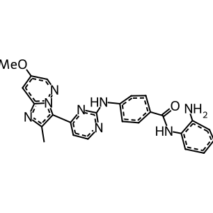 COc1cnn2c(-c3ccnc(Nc4ccc(C(=O)Nc5ccccc5N)cc4)n3)c(C)nc2c1